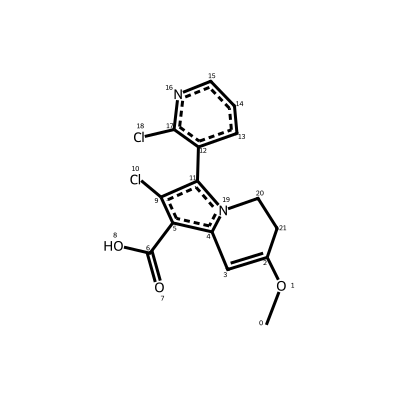 COC1=Cc2c(C(=O)O)c(Cl)c(-c3cccnc3Cl)n2CC1